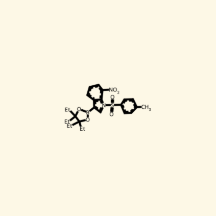 CCC1(CC)OB(c2cn(S(=O)(=O)c3ccc(C)cc3)c3c([N+](=O)[O-])cccc23)OC1(CC)CC